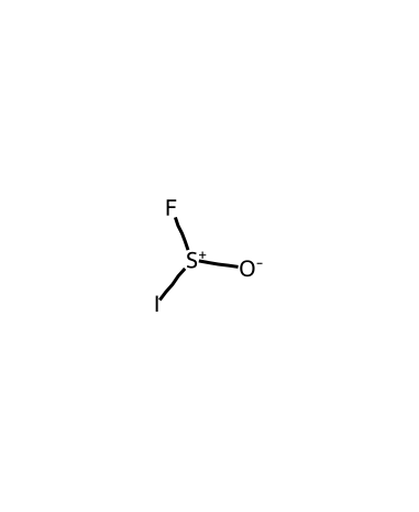 [O-][S+](F)I